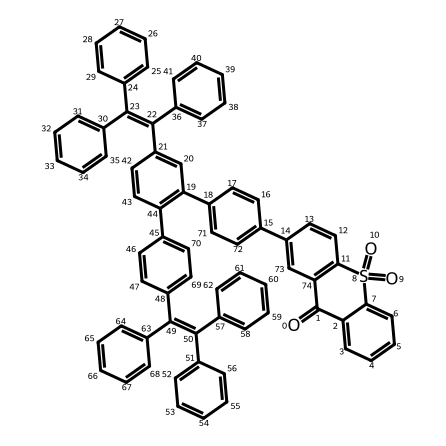 O=C1c2ccccc2S(=O)(=O)c2ccc(-c3ccc(-c4cc(C(=C(c5ccccc5)c5ccccc5)c5ccccc5)ccc4-c4ccc(C(=C(c5ccccc5)c5ccccc5)c5ccccc5)cc4)cc3)cc21